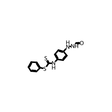 O=CNNc1ccc(NC(=S)Sc2ccccc2)cc1